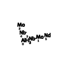 [AlH3].[Mo].[Mo].[Nb].[Nb].[Nd]